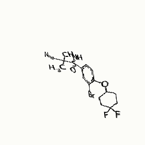 CC(C)(C#N)S(=N)(=O)c1ccc(OC2CCC(F)(F)CC2)c(Br)c1